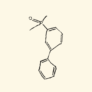 CP(C)(=O)c1cccc(-c2ccccc2)c1